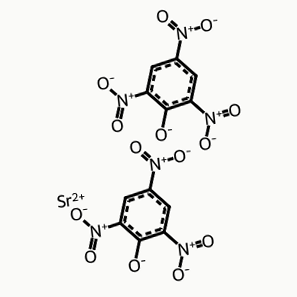 O=[N+]([O-])c1cc([N+](=O)[O-])c([O-])c([N+](=O)[O-])c1.O=[N+]([O-])c1cc([N+](=O)[O-])c([O-])c([N+](=O)[O-])c1.[Sr+2]